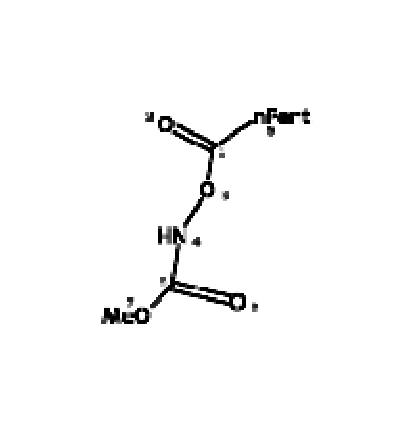 CCCCCC(=O)ONC(=O)OC